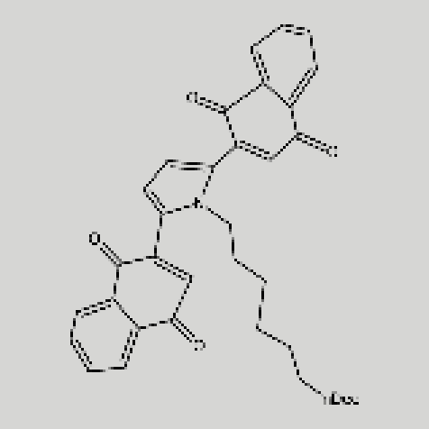 CCCCCCCCCCCCCCCCn1c(C2=CC(=O)c3ccccc3C2=O)ccc1C1=CC(=O)c2ccccc2C1=O